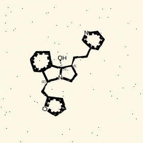 O[C@@]12c3ccccc3[C@H](Cc3ccco3)N1CC[C@@H]2CCc1cccnc1